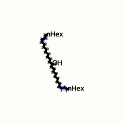 CCCCCC/C=C/C=C\CCCCCCCCC(O)CCCCCCCC/C=C\C=C\CCCCCC